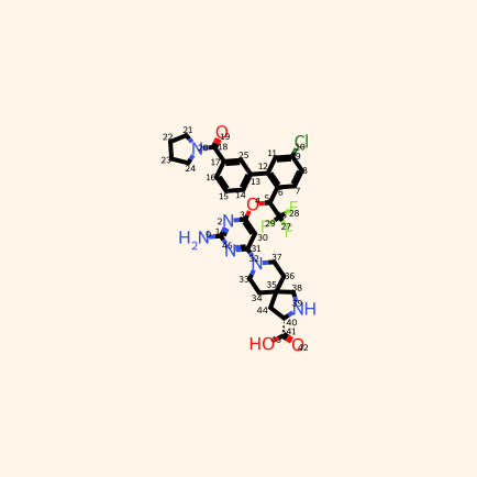 Nc1nc(OC(c2ccc(Cl)cc2-c2cccc(C(=O)N3CCCC3)c2)C(F)(F)F)cc(N2CCC3(CC2)CN[C@H](C(=O)O)C3)n1